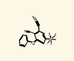 N#Cc1cc(S(F)(F)(F)(F)F)cc(Oc2ccccc2)c1C#N